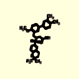 COc1ccc(-c2ccc(C)c(C)c2)cc1CN(CC(=O)O)S(=O)(=O)c1ccc2c(c1)CCC(C)(C)O2